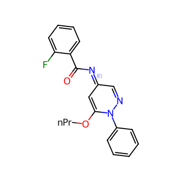 CCCOc1c/c(=N\C(=O)c2ccccc2F)cnn1-c1ccccc1